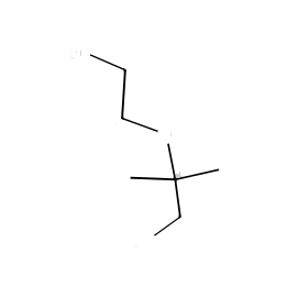 CC(C)(C)CCOC(C)(C)CF